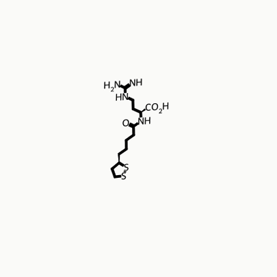 N=C(N)NCC[C@H](NC(=O)CCCC[C@@H]1CCSS1)C(=O)O